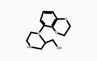 OCC1CNCCN1c1cccc2c1OCCO2